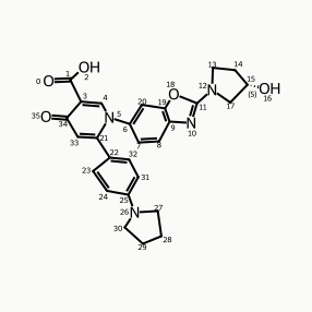 O=C(O)c1cn(-c2ccc3nc(N4CC[C@H](O)C4)oc3c2)c(-c2ccc(N3CCCC3)cc2)cc1=O